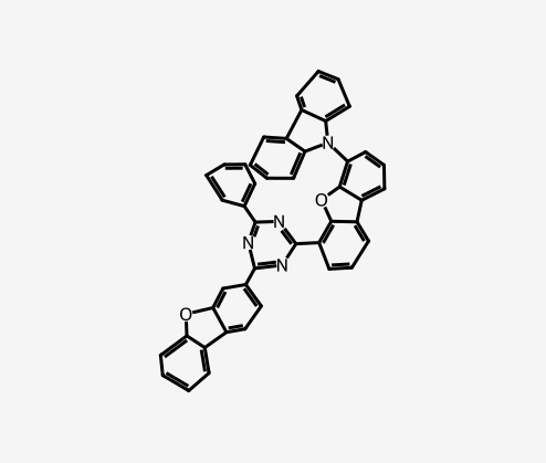 c1ccc(-c2nc(-c3ccc4c(c3)oc3ccccc34)nc(-c3cccc4c3oc3c(-n5c6ccccc6c6ccccc65)cccc34)n2)cc1